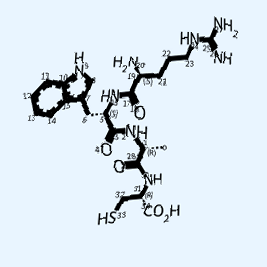 C[C@@H](NC(=O)[C@H](Cc1c[nH]c2ccccc12)NC(=O)[C@@H](N)CCCNC(=N)N)C(=O)N[C@@H](CS)C(=O)O